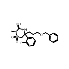 CN1C(=N)NC(CCCOCc2ccccc2)(c2ccccc2F)CS1(=O)=O